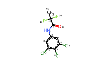 O=C(Nc1cc(Cl)c(Cl)c(Cl)c1)C(F)(F)C(F)(F)F